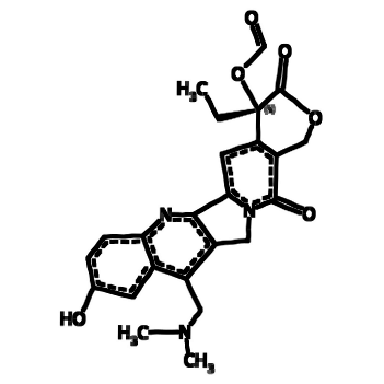 CC[C@@]1(OC=O)C(=O)OCc2c1cc1n(c2=O)Cc2c-1nc1ccc(O)cc1c2CN(C)C